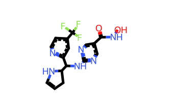 O=C(NO)c1cnc(NC(c2cc(C(F)(F)F)ccn2)C2CC=CN2)nc1